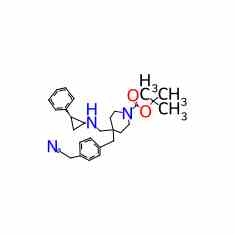 CC(C)(C)OC(=O)N1CCC(CN[C@@H]2C[C@H]2c2ccccc2)(Cc2ccc(CC#N)cc2)CC1